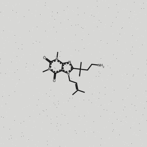 CC(C)=CCn1c(C(C)(C)CCN)nc2c1c(=O)n(C)c(=O)n2C